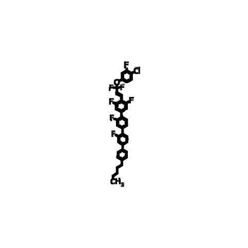 CCCCCc1ccc(-c2ccc(-c3ccc(-c4cc(F)c(/C=C/C(F)(F)Oc5ccc(Cl)c(F)c5)c(F)c4)c(F)c3)c(F)c2)cc1